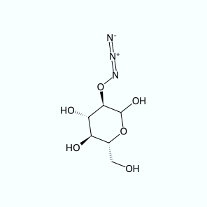 [N-]=[N+]=NO[C@H]1C(O)O[C@H](CO)[C@@H](O)[C@@H]1O